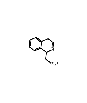 O=C(O)CC1N=CCc2ccccc21